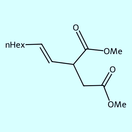 CCCCCCC=CC(CC(=O)OC)C(=O)OC